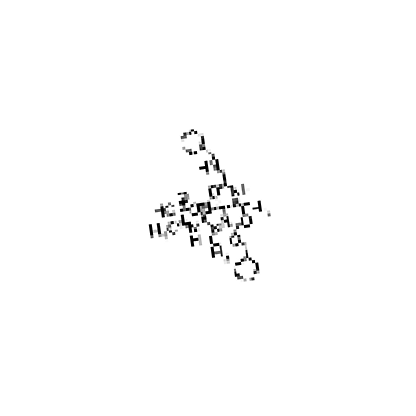 C[C@H](NC(=O)CNCc1ccccc1)C(=O)N(C(=O)OCc1ccccc1)[C@@H](C)C(=O)N[C@@H](C)P(=O)(O)O